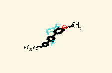 CCCCCCOc1ccc(-c2ccc(-c3ccc(CCC)cc3)c(F)c2)c(F)c1F